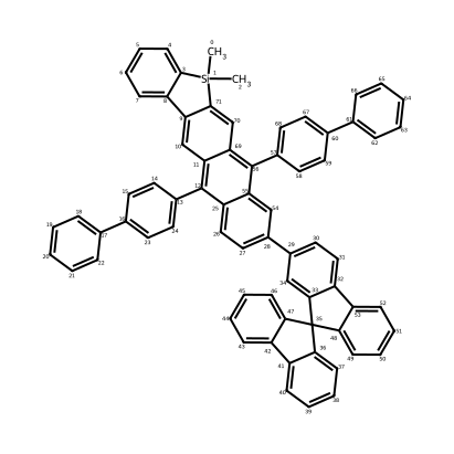 C[Si]1(C)c2ccccc2-c2cc3c(-c4ccc(-c5ccccc5)cc4)c4ccc(-c5ccc6c(c5)C5(c7ccccc7-c7ccccc75)c5ccccc5-6)cc4c(-c4ccc(-c5ccccc5)cc4)c3cc21